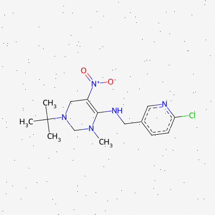 CN1CN(C(C)(C)C)CC([N+](=O)[O-])=C1NCc1ccc(Cl)nc1